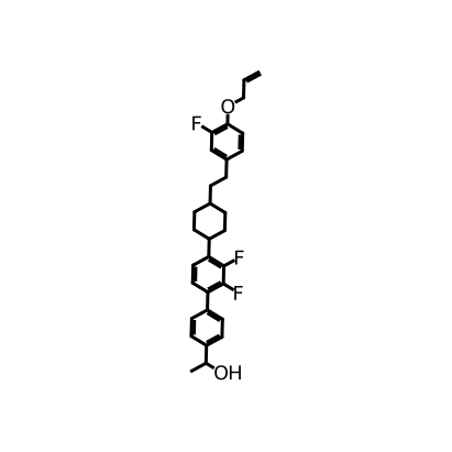 C=CCOc1ccc(CCC2CCC(c3ccc(-c4ccc(C(C)O)cc4)c(F)c3F)CC2)cc1F